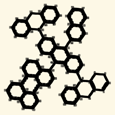 C1=CC2=C(CC1)N(c1ccc3c(-c4ccc5ccccc5c4)c4cc(N5c6ccccc6Cc6ccccc65)ccc4c(-c4ccc5c6cccc7cccc(c8cccc4c85)c76)c3c1)c1ccccc1C2